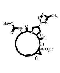 CCOC(=O)[C@@]12C[C@H]1/C=C\CCCCC[C@H](NC(=O)OC(C)(C)C)C(=O)N1C[C@H](n3nnc(C)n3)C[C@H]1C(=O)N2